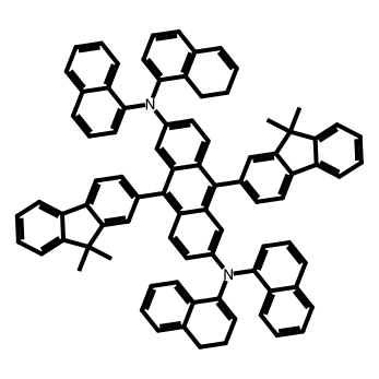 CC1(C)c2ccccc2-c2ccc(-c3c4ccc(N(c5cccc6c5CCC=C6)c5cccc6ccccc56)cc4c(-c4ccc5c(c4)C(C)(C)c4ccccc4-5)c4ccc(N(C5=CCCc6ccccc65)c5cccc6ccccc56)cc34)cc21